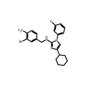 Fc1cccc(-n2cc(C3CCCCC3)nc2NCc2ccc(C(F)(F)F)c(Br)c2)c1